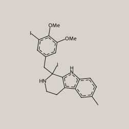 COc1cc(CC2(I)NCCc3c2[nH]c2ccc(C)cc32)cc(I)c1OC